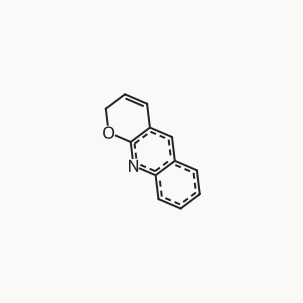 C1=Cc2cc3ccccc3nc2OC1